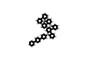 c1ccc(-c2ccc(-c3ccc(-n4c5ccccc5c5c6c7ccccc7n(-c7cccc([Si]8(c9ccccc9)c9ccccc9-c9ccccc98)c7)c6ccc54)cc3)cc2)cc1